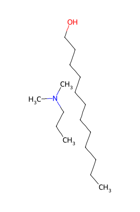 CCCCCCCCCCCCO.CCCN(C)C